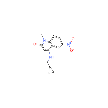 Cn1c(=O)cc(NCC2CC2)c2cc([N+](=O)[O-])ccc21